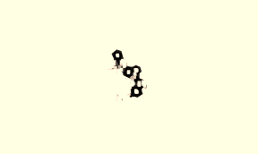 CN(CC(=O)N1CCCc2cc(NS(=O)(=O)c3ccccc3)ccc21)c1ccc(C#N)cc1